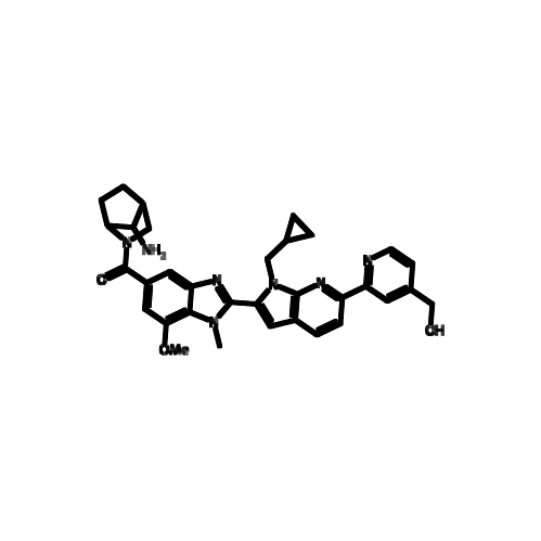 COc1cc(C(=O)N2CC3CCC2C3N)cc2nc(-c3cc4ccc(-c5cc(CO)ccn5)nc4n3CC3CC3)n(C)c12